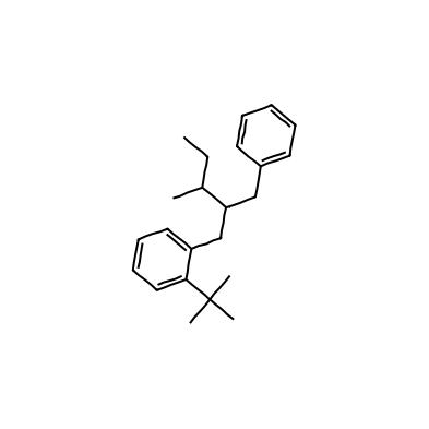 CCC(C)[C](Cc1ccccc1)Cc1ccccc1C(C)(C)C